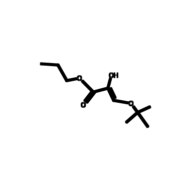 CCCOC(=O)C(O)=COC(C)(C)C